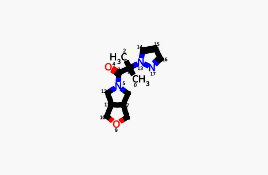 CC(C)(C(=O)N1CC2COCC2C1)n1c[c]cn1